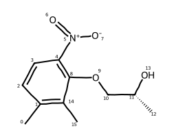 Cc1ccc([N+](=O)[O-])c(OC[C@@H](C)O)c1C